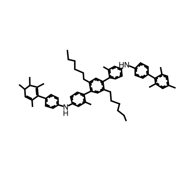 CCCCCCc1cc(-c2ccc(Nc3ccc(-c4c(C)cc(C)cc4C)cc3)cc2C)c(CCCCCC)cc1-c1ccc(Nc2ccc(C3=C(C)C(C)C(C)C=C3C)cc2)cc1C